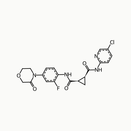 O=C(Nc1ccc(Cl)cn1)[C@H]1C[C@H]1C(=O)Nc1ccc(N2CCOCC2=O)cc1F